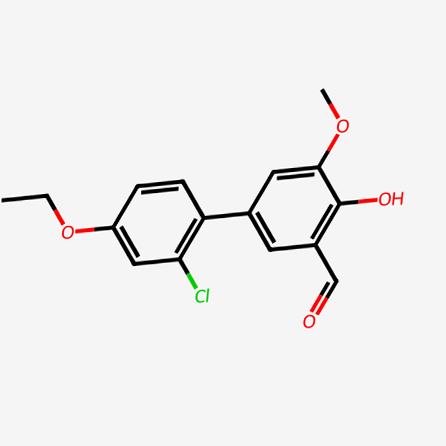 CCOc1ccc(-c2cc(C=O)c(O)c(OC)c2)c(Cl)c1